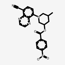 CC1CC(OC(=O)c2ccc([N+](=O)[O-])cc2)CN(c2ccc(C#N)c3nccnc23)C1